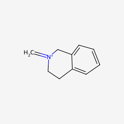 C=[N+]1CCc2ccccc2C1